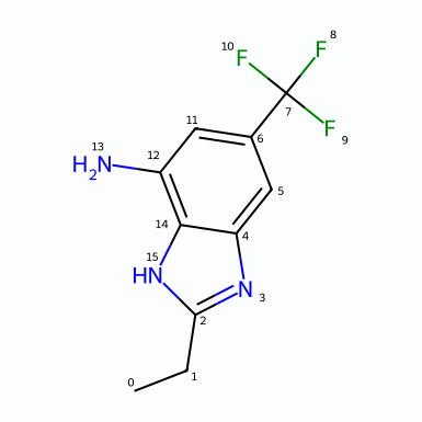 CCc1nc2cc(C(F)(F)F)cc(N)c2[nH]1